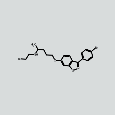 CC(CCCOc1ccc2c(-c3ccc(Br)cc3)nsc2c1)NCCO